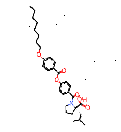 CCCCCCCCOc1ccc(C(=O)Oc2ccc(C(=O)N3CCC[C@]3(CC(C)C)C(=O)O)cc2)cc1